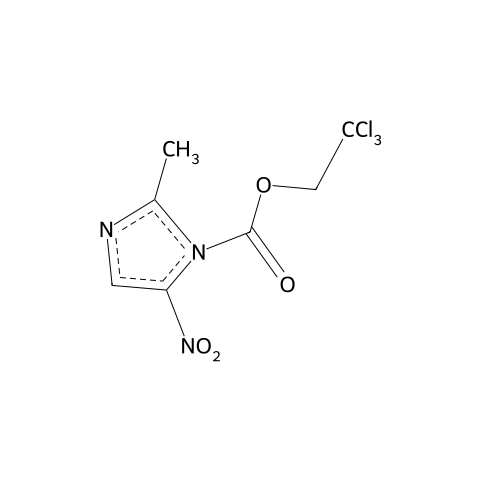 Cc1ncc([N+](=O)[O-])n1C(=O)OCC(Cl)(Cl)Cl